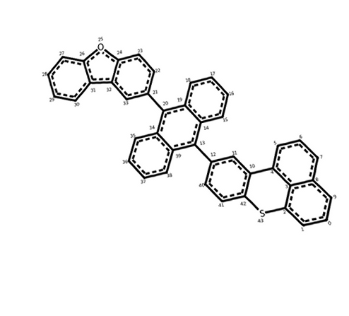 c1cc2c3c(cccc3c1)-c1cc(-c3c4ccccc4c(-c4ccc5oc6ccccc6c5c4)c4ccccc34)ccc1S2